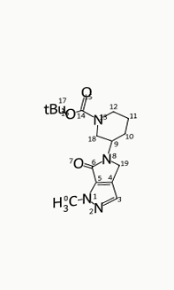 Cn1ncc2c1C(=O)N(C1CCCN(C(=O)OC(C)(C)C)C1)C2